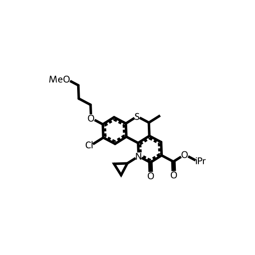 COCCCOc1cc2c(cc1Cl)-c1c(cc(C(=O)OC(C)C)c(=O)n1C1CC1)C(C)S2